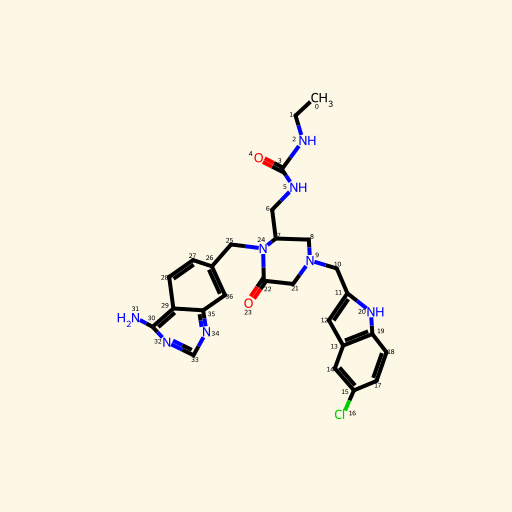 CCNC(=O)NCC1CN(Cc2cc3cc(Cl)ccc3[nH]2)CC(=O)N1Cc1ccc2c(N)ncnc2c1